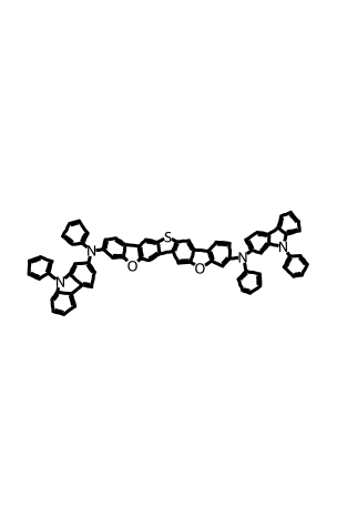 c1ccc(N(c2ccc3c(c2)oc2cc4c(cc23)sc2cc3c(cc24)oc2cc(N(c4ccccc4)c4ccc5c6ccccc6n(-c6ccccc6)c5c4)ccc23)c2ccc3c4ccccc4n(-c4ccccc4)c3c2)cc1